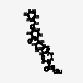 CC(C)(C)OC(=O)N1CCc2sc3cc(-n4ccc(OCc5ccccc5)cc4=O)ccc3c2CC1